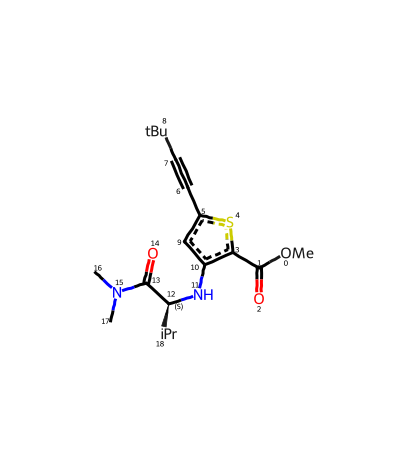 COC(=O)c1sc(C#CC(C)(C)C)cc1N[C@H](C(=O)N(C)C)C(C)C